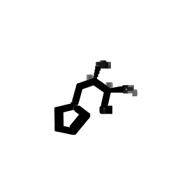 CCCC[C@@H](Cn1cccc1)[C@@H](C)O